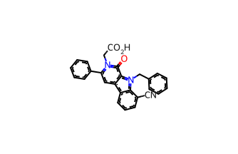 N#Cc1cccc2c3cc(-c4ccccc4)n(CC(=O)O)c(=O)c3n(Cc3ccccc3)c12